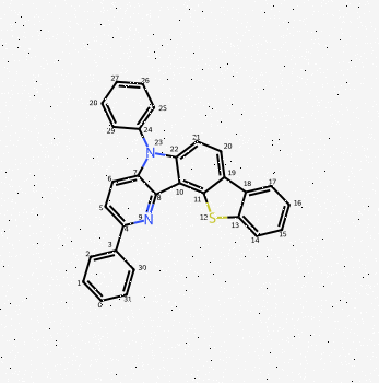 c1ccc(-c2ccc3c(n2)c2c4sc5ccccc5c4ccc2n3-c2ccccc2)cc1